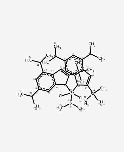 CC(C)c1cc(C(C)C)c2c(c1)[CH]([Zr]([Cl])([Cl])([CH]1C([Si](C)(C)C)=Cc3c(C(C)C)cc(C(C)C)cc31)[SiH](C)C)C([Si](C)(C)C)=C2